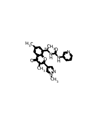 Cc1cc([C@@H](C)NC(=O)Nc2cccnc2)c2oc(-c3cnn(C)c3)c(C)c(=O)c2c1